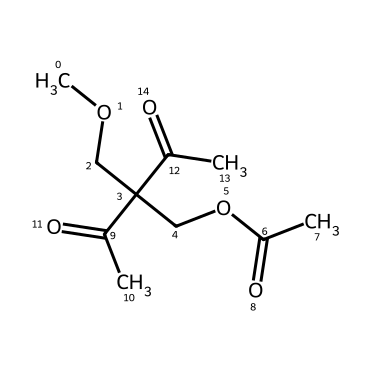 COCC(COC(C)=O)(C(C)=O)C(C)=O